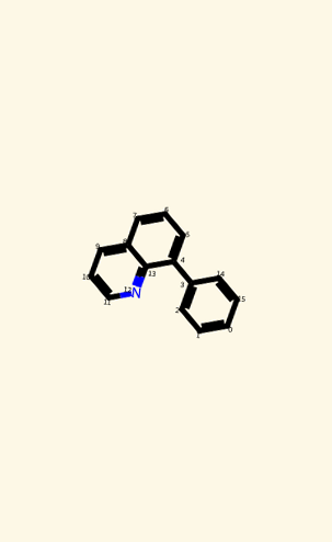 c1ccc(-c2cccc3cccnc23)cc1